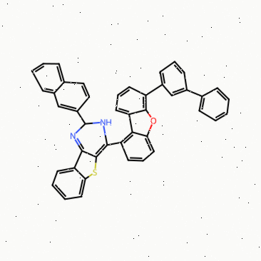 c1ccc(-c2cccc(-c3cccc4c3oc3cccc(C5=c6sc7ccccc7c6=NC(c6ccc7ccccc7c6)N5)c34)c2)cc1